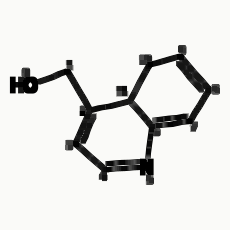 OCC1=CC=NC2=CC=CCC12